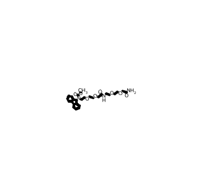 COC(=O)N(CCOCCOCC(=O)NCCOCCOCC(N)=O)C1c2ccccc2-c2ccccc21